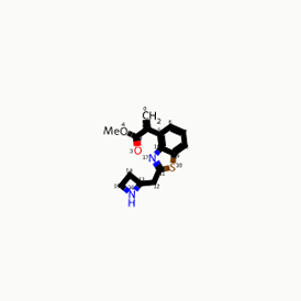 C=C(C(=O)OC)c1cccc2sc(CC3CCN3)nc12